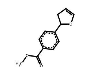 COC(=O)c1ccc(C2CC=CO2)cc1